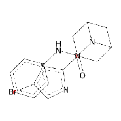 O=C(Nc1ccccc1)N1C2CC1CN(c1ncc(Br)s1)C2